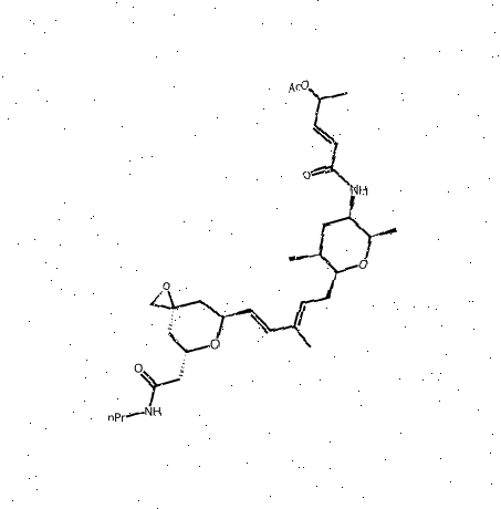 CCCNC(=O)C[C@@H]1C[C@@]2(CO2)C[C@@H](C=CC(C)=CC[C@@H]2O[C@H](C)[C@H](NC(=O)C=CC(C)OC(C)=O)C[C@@H]2C)O1